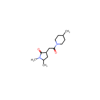 CC1CCN(C(=O)CC2CC(C)N(C)C2=O)CC1